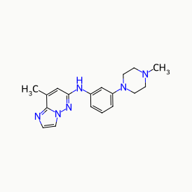 Cc1cc(Nc2cccc(N3CCN(C)CC3)c2)nn2ccnc12